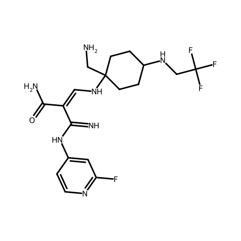 N=C(Nc1ccnc(F)c1)/C(=C\NC1(CN)CCC(NCC(F)(F)F)CC1)C(N)=O